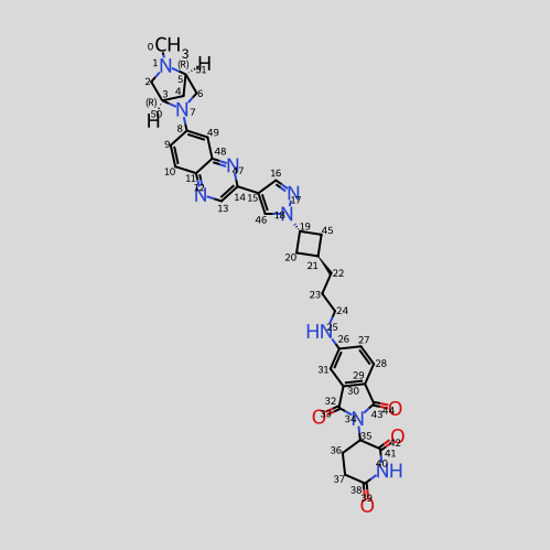 CN1C[C@H]2C[C@@H]1CN2c1ccc2ncc(-c3cnn([C@H]4C[C@H](CCCNc5ccc6c(c5)C(=O)N(C5CCC(=O)NC5=O)C6=O)C4)c3)nc2c1